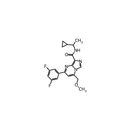 COCc1cc(-c2cc(F)cc(F)c2)nc2c(C(=O)NC(C)C3CC3)ncn12